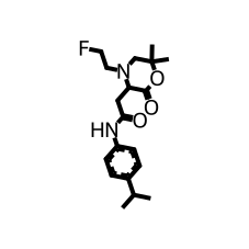 CC(C)c1ccc(NC(=O)CC2C(=O)OC(C)(C)CN2CCF)cc1